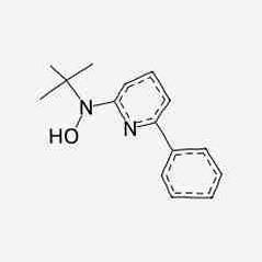 CC(C)(C)N(O)c1cccc(-c2ccccc2)n1